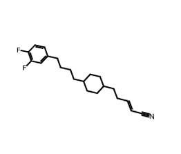 N#CC=CCCC1CCC(CCCCc2ccc(F)c(F)c2)CC1